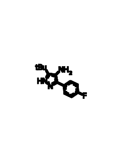 CC(C)(C)c1[nH]nc(-c2ccc(F)cc2)c1N